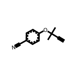 C#CC(C)(C)Oc1ccc(C#N)cc1